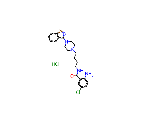 Cl.Nc1ccc(Cl)cc1C(=O)NCCCCN1CCN(c2nsc3ccccc23)CC1